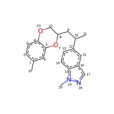 Cc1ccc2c(c1)OC(CC(C)c1ccc3c(cnn3C)c1)CO2